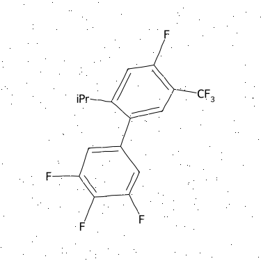 CC(C)c1cc(F)c(C(F)(F)F)cc1-c1cc(F)c(F)c(F)c1